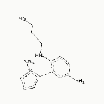 Cn1cccc1-c1cc(N)ccc1NCCCO